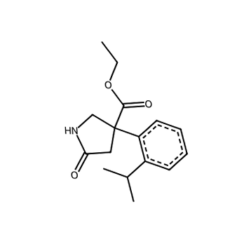 CCOC(=O)C1(c2ccccc2C(C)C)CNC(=O)C1